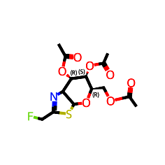 CC(=O)OC[C@H]1OC2SC(CF)=NC2[C@@H](OC(C)=O)[C@@H]1OC(C)=O